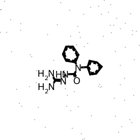 NC(N)=NNC(=O)N(c1ccccc1)c1ccccc1